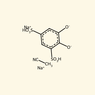 CC#N.O=S(=O)(O)c1cc([O-])c([O-])c(S(=O)(=O)O)c1.[Na+].[Na+]